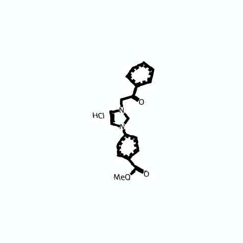 COC(=O)c1ccc(N2C=CN(CC(=O)c3ccccc3)C2)cc1.Cl